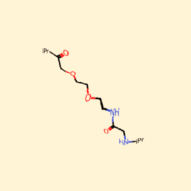 CC(C)NCC(=O)NCCOCCOCC(=O)C(C)C